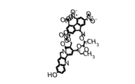 CC[C@H](OC(=O)[C@@H](C)ON=C1c2cc([N+](=O)[O-])cc([N+](=O)[O-])c2-c2c1cc([N+](=O)[O-])cc2[N+](=O)[O-])c1cc2n(c(=O)c1COC=O)Cc1cc3cc(O)ccc3nc1-2